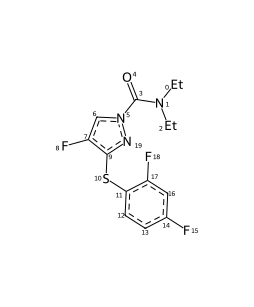 CCN(CC)C(=O)n1cc(F)c(Sc2ccc(F)cc2F)n1